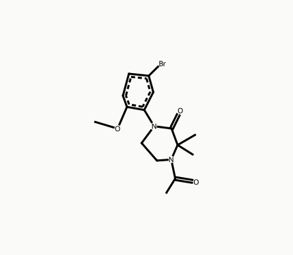 COc1ccc(Br)cc1N1CCN(C(C)=O)C(C)(C)C1=O